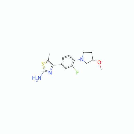 CO[C@H]1CCN(c2ccc(-c3nc(N)sc3C)cc2F)C1